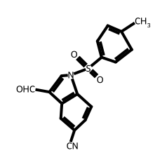 Cc1ccc(S(=O)(=O)n2cc(C=O)c3cc(C#N)ccc32)cc1